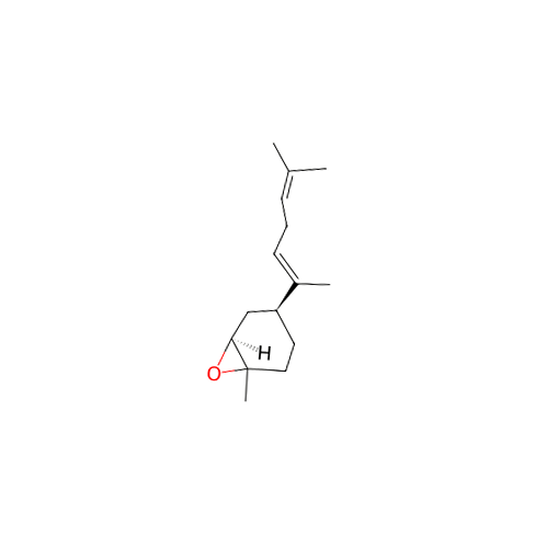 CC(C)=CCC=C(C)[C@H]1CCC2(C)O[C@H]2C1